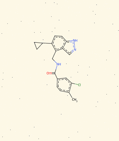 Cc1ccc(C(=O)NCc2c(C3CC3)ccc3[nH]ncc23)cc1Cl